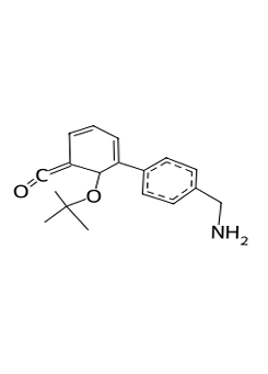 CC(C)(C)OC1C(=C=O)C=CC=C1c1ccc(CN)cc1